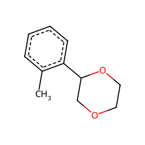 Cc1ccccc1C1COCCO1